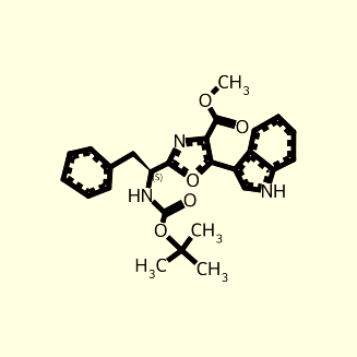 COC(=O)c1nc([C@H](Cc2ccccc2)NC(=O)OC(C)(C)C)oc1-c1c[nH]c2ccccc12